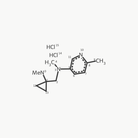 CNC1(CN(C)c2ccc(C)nc2)CC1.Cl.Cl